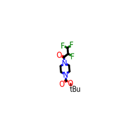 CC(C)(C)OC(=O)N1CCN(C(=O)C(F)C(F)F)CC1